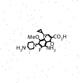 COc1c(N2CC[C@@H](N)[C@@H](C)C2)c(F)c(N)c2c(=O)c(C(=O)O)cn(C3CC3)c12